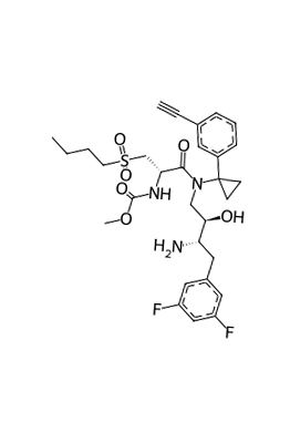 C#Cc1cccc(C2(N(C[C@@H](O)[C@@H](N)Cc3cc(F)cc(F)c3)C(=O)[C@@H](CS(=O)(=O)CCCC)NC(=O)OC)CC2)c1